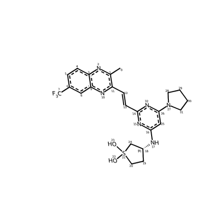 Cc1nc2ccc(C(F)(F)F)cc2nc1C=Cc1nc(N[C@@H]2CCS(O)(O)C2)cc(N2CCCC2)n1